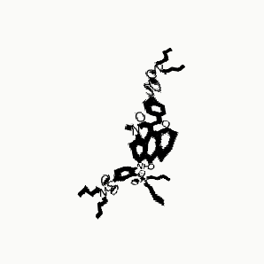 CCCCN(CCCC)OOSc1ccc(C(=O)c2c3c4c(c(Nc5ccc(S(=O)(=O)N(CCCC)CCCC)cc5S(=O)(=O)N(CCCC)CCCC)ccc4n(C)c2=O)C(=O)c2ccccc2-3)cc1